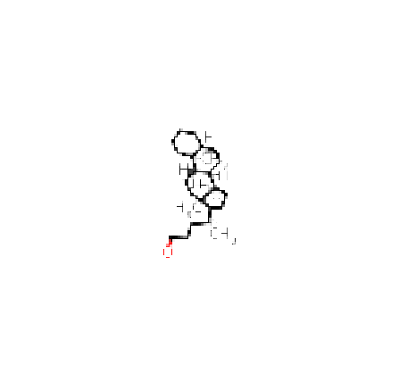 C[C@H](CCC=O)C1CC[C@H]2[C@@H]3CC[C@@H]4CCCC[C@]4(C)[C@H]3CC[C@]12C